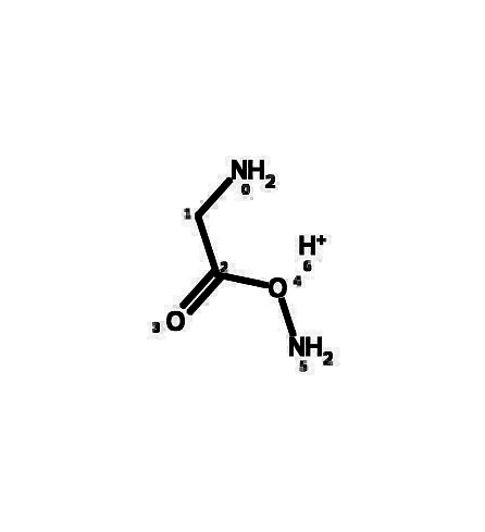 NCC(=O)ON.[H+]